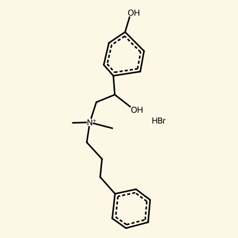 Br.C[N+](C)(CCCc1ccccc1)CC(O)c1ccc(O)cc1